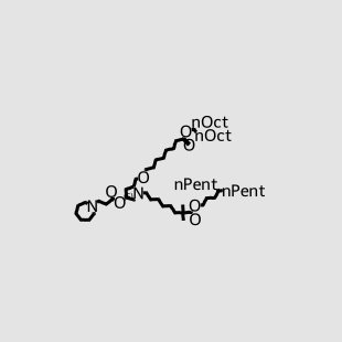 CCCCCCCCC(CCCCCCCC)OC(=O)CCCCCCCOCC1C[C@H](OC(=O)CCN2CCCCCC2)CN1CCCCCCC(C)(C)C(=O)OCCCC(CCCCC)CCCCC